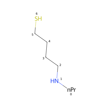 CCCNCCCCS